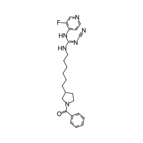 N#CN=C(NCCCCCCC1CCN(C(=O)c2ccccc2)C1)Nc1ccncc1F